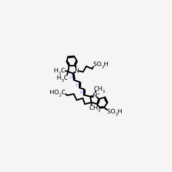 C[N+]1=C(/C=C/C=C/C=C2\N(CCCS(=O)(=O)O)c3ccccc3C2(C)C)C(C)(CCCCCC(=O)O)c2cc(S(=O)(=O)O)ccc21